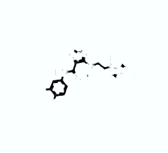 Cc1cc(NC(=N)c2nonc2NCCNS(C)(=O)=O)ccc1F